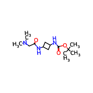 CN(C)CC(=O)NC1CC(NC(=O)OC(C)(C)C)C1